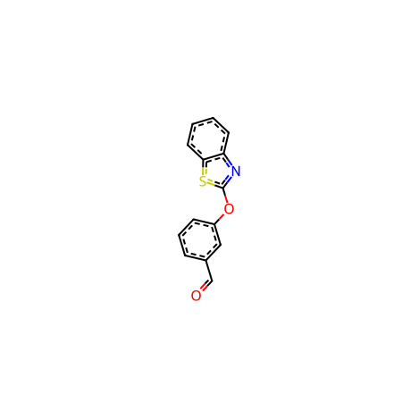 O=Cc1cccc(Oc2nc3ccccc3s2)c1